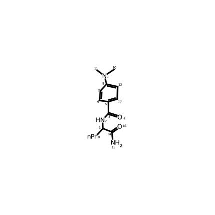 CCCC(NC(=O)c1ccc(N(C)C)cc1)C(N)=O